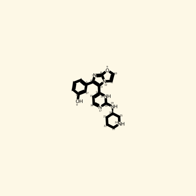 Oc1cccc(-c2nc3occn3c2C2=CC=NC(N[C@@H]3CCCNC3)N2)c1